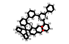 c1ccc(-c2cc(-c3cccc(-c4cccc5c4Oc4c(ccc6ccccc46)C54c5ccccc5-c5ccccc54)c3)nc(-c3ccccc3)n2)cc1